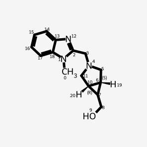 Cn1c(CN2C[C@@H]3C(CO)[C@@H]3C2)nc2ccccc21